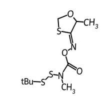 CC1OCSC1=NOC(=O)N(C)SSC(C)(C)C